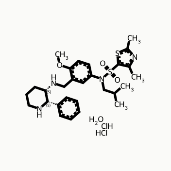 COc1ccc(N(CC(C)C)S(=O)(=O)c2sc(C)nc2C)cc1CN[C@H]1CCCN[C@H]1c1ccccc1.Cl.Cl.O